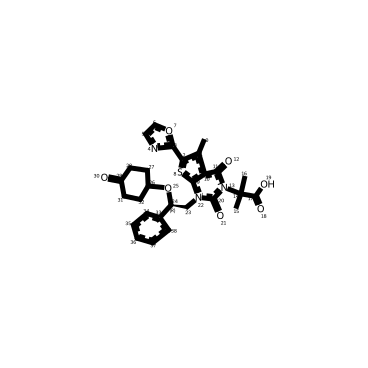 Cc1c(-c2ncco2)sc2c1c(=O)n(C(C)(C)C(=O)O)c(=O)n2C[C@H](OC1CCC(=O)CC1)c1ccccc1